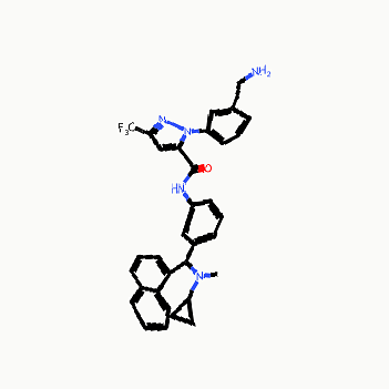 CN(C1CC1)C(c1cccc(NC(=O)c2cc(C(F)(F)F)nn2-c2cccc(CN)c2)c1)c1cccc2ccccc12